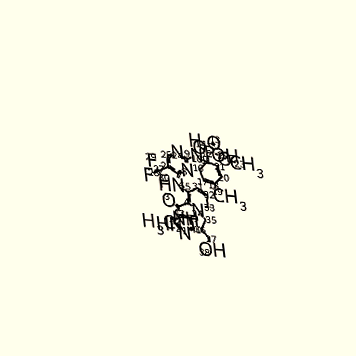 CNC(=O)C1=C(Nc2nc(NC3(P(=O)([O-])O)CC=C(C)C=C3OC)ncc2C(F)(F)F)C=CC[N+]1(CCCO)c1cn[nH]c1